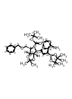 CC(C)(C)OC(=O)N1[C@H](COCc2ccccc2)[C@H]2OC(C)(C)O[C@H]2[C@@H]1c1cc(B2OC(C)(C)C(C)(C)O2)c2c(N)ncnn12